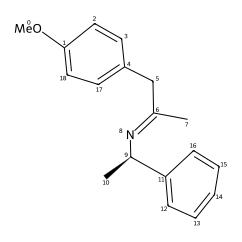 COc1ccc(CC(C)=N[C@H](C)c2ccccc2)cc1